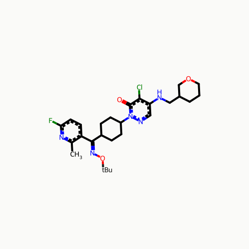 Cc1nc(F)ccc1/C(=N/OC(C)(C)C)C1CCC(n2ncc(NCC3CCCOC3)c(Cl)c2=O)CC1